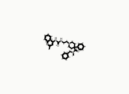 Cc1cc(NC(=O)NCCN2CCC(C(=O)N(C)Cc3ccccc3)(c3ccccc3)CC2)c2ccccc2n1